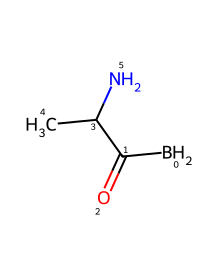 BC(=O)C(C)N